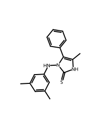 Cc1cc(C)cc(Nn2c(-c3ccccc3)c(C)[nH]c2=S)c1